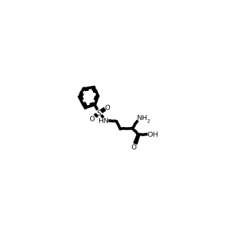 NC(CCNS(=O)(=O)c1ccccc1)C(=O)O